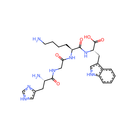 NCCCC[C@H](NC(=O)CNC(=O)[C@@H](N)Cc1c[nH]cn1)C(=O)N[C@@H](Cc1c[nH]c2ccccc12)C(=O)O